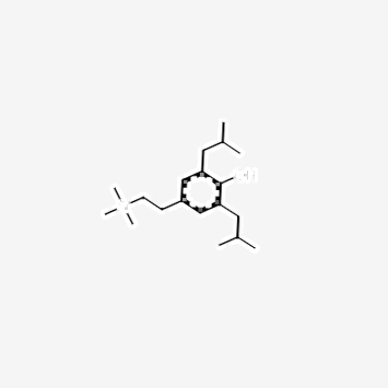 CC(C)Cc1cc(CC[Si](C)(C)C)cc(CC(C)C)c1O